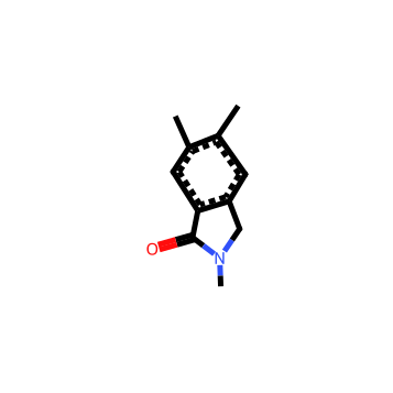 Cc1cc2c(cc1C)C(=O)N(C)C2